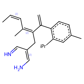 C=C(/C(C/C(C=N)=C/N)=C(C)\C=C/C)c1ccc(C)cc1C(C)C